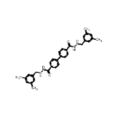 Cc1cc(C)cc(CNNC(=O)c2ccc(-c3ccc(C(=O)NNCc4cc(C)cc(C)c4)cc3)cc2)c1